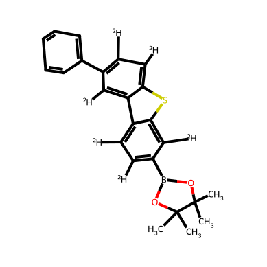 [2H]c1c(-c2ccccc2)c([2H])c2c(sc3c([2H])c(B4OC(C)(C)C(C)(C)O4)c([2H])c([2H])c32)c1[2H]